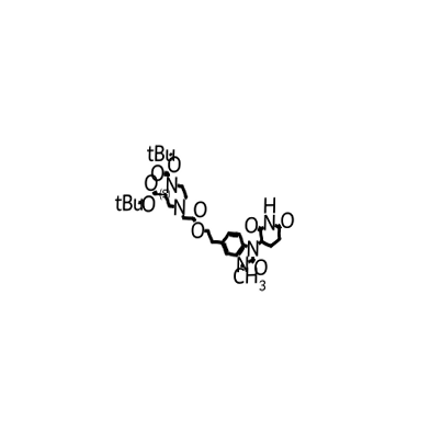 Cn1c(=O)n(C2CCC(=O)NC2=O)c2ccc(CCOC(=O)CN3CCN(C(=O)OC(C)(C)C)[C@H](C(=O)OC(C)(C)C)C3)cc21